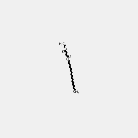 C=CCOC(=O)C=CC(=O)OCCCCCCCCCCCCCCCCCC